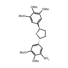 COc1cc([C@H]2CC[C@H](c3cc(OC)c(OC)c([N+](=O)[O-])c3)S2)cc(OC)c1OC